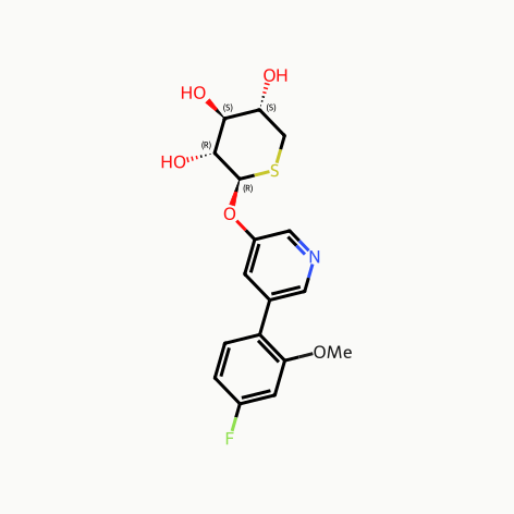 COc1cc(F)ccc1-c1cncc(O[C@@H]2SC[C@@H](O)[C@H](O)[C@H]2O)c1